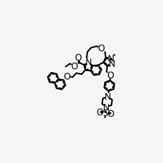 CCOC(=O)c1c(CCCOc2cccc3ccccc23)c2cccc3c2n1CCCCOCc1c-3c(COc2ccc(N3CCN(S(C)(=O)=O)CC3)cc2)nn1C